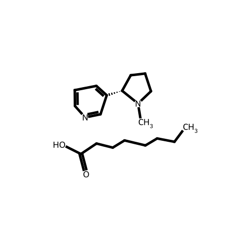 CCCCCCCC(=O)O.CN1CCC[C@H]1c1cccnc1